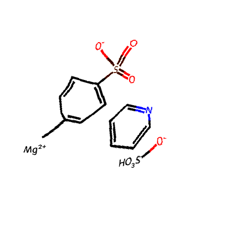 Cc1ccc(S(=O)(=O)[O-])cc1.O=S(=O)([O-])O.[Mg+2].c1ccncc1